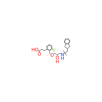 C[C@@H](OC[C@H](O)CNC(C)(C)CC1Cc2ccccc2C1)c1c(F)cccc1CCC(=O)O